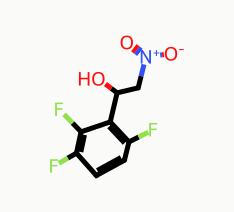 O=[N+]([O-])CC(O)c1c(F)ccc(F)c1F